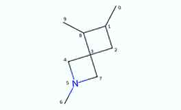 CC1CC2(CN(C)C2)C1C